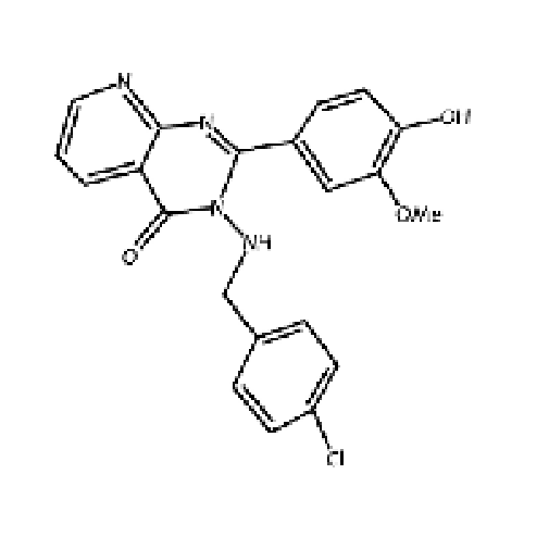 COc1cc(-c2nc3ncccc3c(=O)n2NCc2ccc(Cl)cc2)ccc1O